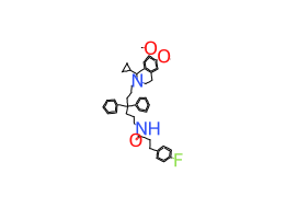 COc1cc2c(cc1OC)C(C1CC1)N(CCCC(CCCNC(=O)CCc1ccc(F)cc1)(c1ccccc1)c1ccccc1)CC2